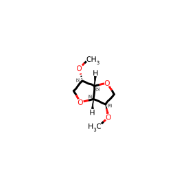 CO[C@H]1CO[C@@H]2[C@H]1OC[C@H]2OC